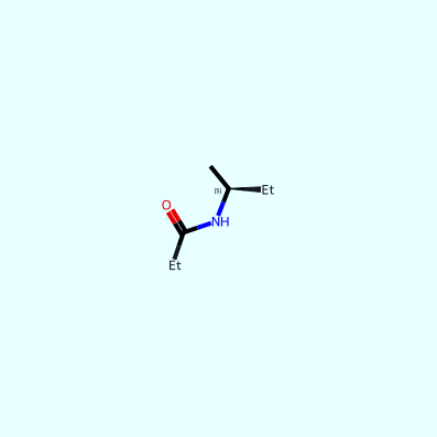 CCC(=O)N[C@@H](C)CC